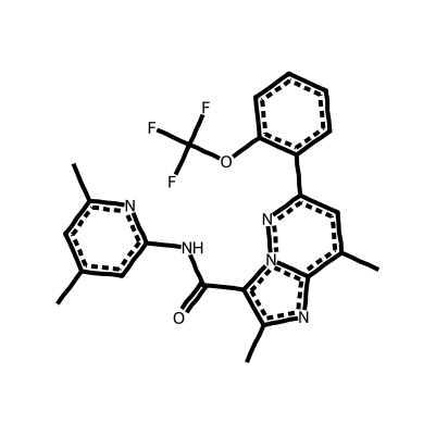 Cc1cc(C)nc(NC(=O)c2c(C)nc3c(C)cc(-c4ccccc4OC(F)(F)F)nn23)c1